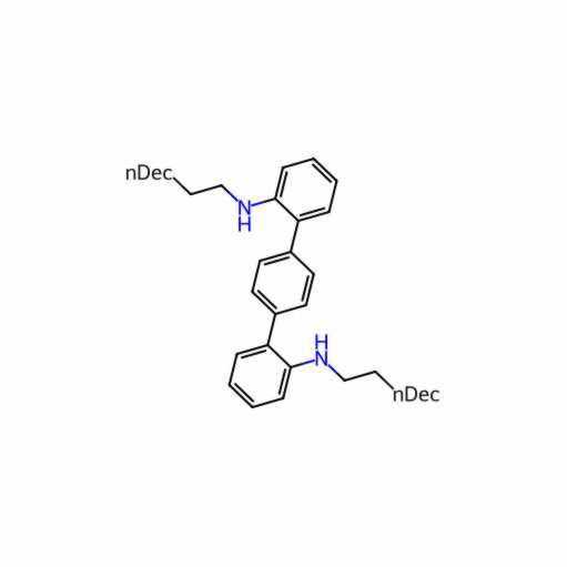 CCCCCCCCCCCCNc1ccccc1-c1ccc(-c2ccccc2NCCCCCCCCCCCC)cc1